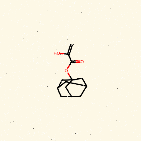 C=C(O)C(=O)OC12CC3CC(CC(C3)C1)C2